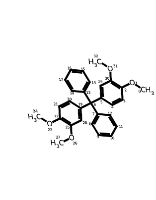 COc1ccc(C(c2ccccc2)(c2ccccc2)c2ccc(OC)c(OC)c2)cc1OC